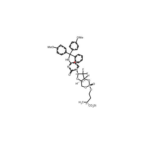 CCOC(=O)[C@H](C)CCOP1(=O)OC[C@H]2O[C@@H](n3ccc(NC(c4ccccc4)(c4ccc(OC)cc4)c4ccc(OC)cc4)nc3=O)C(F)(F)[C@@H]2O1